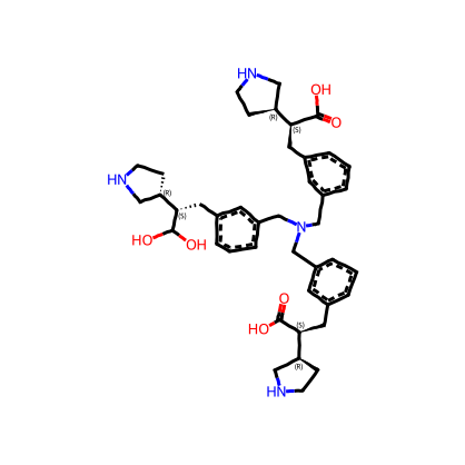 O=C(O)[C@@H](Cc1cccc(CN(Cc2cccc(C[C@H](C(=O)O)[C@H]3CCNC3)c2)Cc2cccc(C[C@H](C(O)O)[C@H]3CCNC3)c2)c1)[C@H]1CCNC1